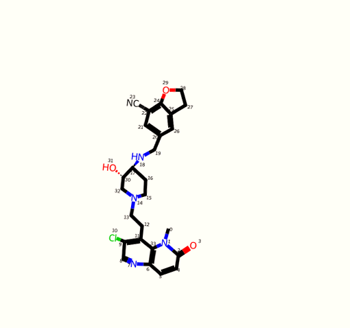 Cn1c(=O)ccc2ncc(Cl)c(CCN3CC[C@H](NCc4cc(C#N)c5c(c4)CCO5)[C@@H](O)C3)c21